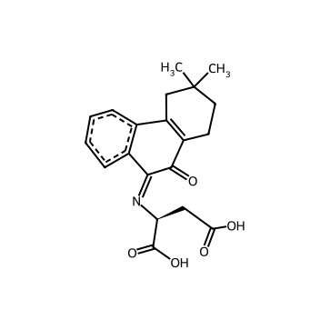 CC1(C)CCC2=C(C1)c1ccccc1/C(=N/[C@@H](CC(=O)O)C(=O)O)C2=O